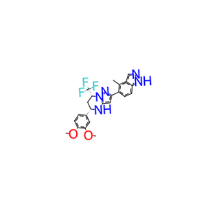 COc1ccc([C@@H]2C[C@H](C(F)(F)F)n3nc(-c4ccc5[nH]ncc5c4C)cc3N2)cc1OC